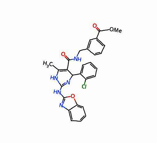 COC(=O)c1cccc(CNC(=O)C2=C(C)NC(Nc3nc4ccccc4o3)=NC2c2ccccc2Cl)c1